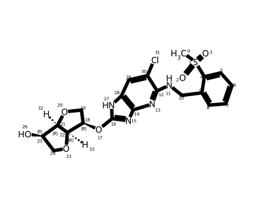 CS(=O)(=O)c1ccccc1CNc1nc2nc(O[C@@H]3CO[C@H]4[C@@H]3OC[C@H]4O)[nH]c2cc1Cl